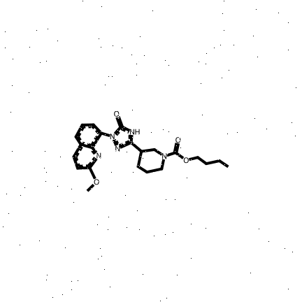 CCCCOC(=O)N1CCCC(c2nn(-c3cccc4ccc(OC)nc34)c(=O)[nH]2)C1